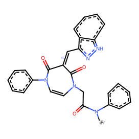 CC(C)N(C(=O)CN1C=CN(c2ccccc2)C(=O)/C(=C/c2n[nH]c3ccccc23)C1=O)c1ccccc1